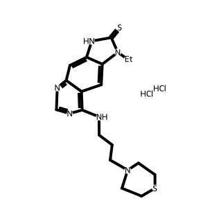 CCn1c(=S)[nH]c2cc3ncnc(NCCCN4CCSCC4)c3cc21.Cl.Cl